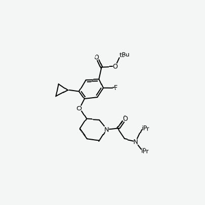 CC(C)N(CC(=O)N1CCCC(Oc2cc(F)c(C(=O)OC(C)(C)C)cc2C2CC2)C1)C(C)C